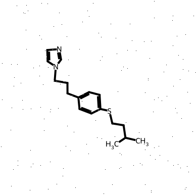 CC(C)CCSc1ccc(CCCn2ccnc2)cc1